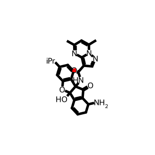 Cc1cc(C)n2ncc(C(=O)NC34C(=O)C5=C(C=CCC5N)C3(O)Oc3cc(C(C)C)ccc34)c2n1